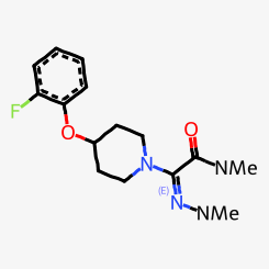 CN/N=C(\C(=O)NC)N1CCC(Oc2ccccc2F)CC1